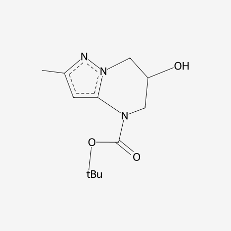 Cc1cc2n(n1)CC(O)CN2C(=O)OC(C)(C)C